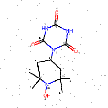 CC1(C)CC(n2c(=O)[nH]c(=O)[nH]c2=O)CC(C)(C)N1O